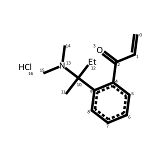 C=CC(=O)c1ccccc1C(C)(CC)N(C)C.Cl